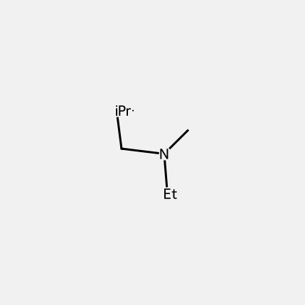 CCN(C)C[C](C)C